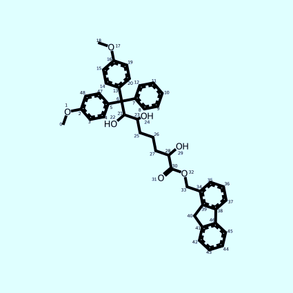 COc1ccc(C(c2ccccc2)(c2ccc(OC)cc2)C(O)C(O)CCCC(O)C(=O)OCc2cccc3c2Cc2ccccc2-3)cc1